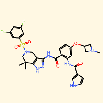 CN1CC(Oc2ccc(C(=O)Nc3n[nH]c4c3CN(S(=O)(=O)c3cc(F)cc(F)c3)CC4(C)C)c(NC(=O)c3cc[nH]c3)c2)C1